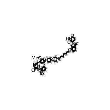 COc1cc(N2CCC(N3CCN(CCCCCCCOc4cccc5c4CN(C4CCC(=O)NC4=O)C5=O)CC3)CC2)ccc1Nc1ncc(Cl)c(Nc2ccccc2P(C)(C)=O)n1